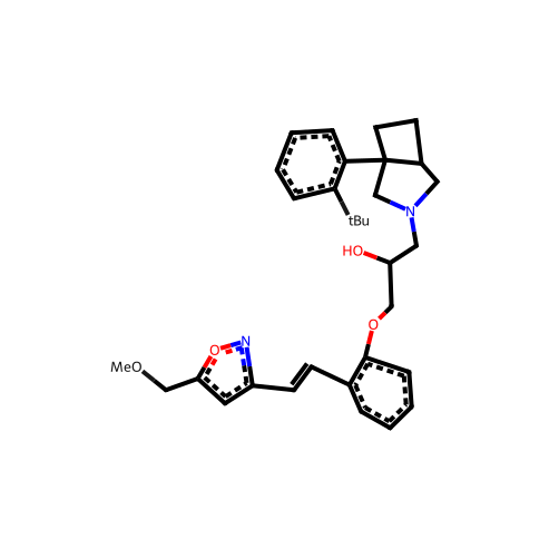 COCc1cc(/C=C/c2ccccc2OCC(O)CN2CC3CCC3(c3ccccc3C(C)(C)C)C2)no1